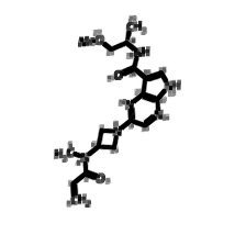 C=CC(=O)N(C)C1CN(c2cnc3[nH]cc(C(=O)N[C@H](C)COC)c3n2)C1